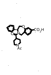 CC(=O)N1CCC(C(=O)N2Cc3ccc(C(=O)O)cc3OC[C@@H]2c2ccccc2)CC1